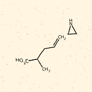 C1CN1.C=CCC(C)C(=O)O